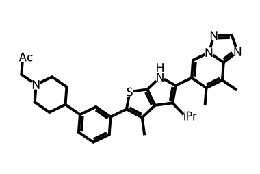 CC(=O)CN1CCC(c2cccc(-c3sc4[nH]c(-c5cn6ncnc6c(C)c5C)c(C(C)C)c4c3C)c2)CC1